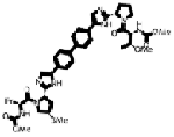 COC(=O)N[C@H](C(=O)N1C[C@@H](SC)C[C@H]1c1ncc(-c2ccc(-c3ccc(-c4cnc([C@@H]5CCCN5C(=O)[C@@H](NC(=O)OC)[C@@H](C)OC)[nH]4)cc3)cc2)[nH]1)C(C)C